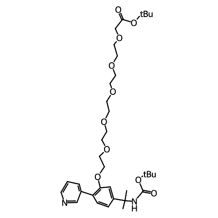 CC(C)(C)OC(=O)COCCOCCOCCOCCOCCOc1cc(C(C)(C)NC(=O)OC(C)(C)C)ccc1-c1cccnc1